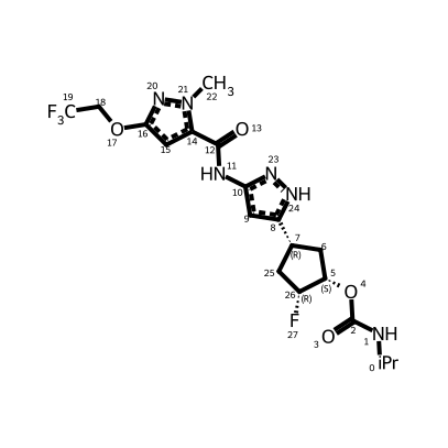 CC(C)NC(=O)O[C@H]1C[C@@H](c2cc(NC(=O)c3cc(OCC(F)(F)F)nn3C)n[nH]2)C[C@H]1F